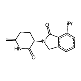 C=C1CC[C@@H](N2Cc3cccc(C(C)C)c3C2=O)C(=O)N1